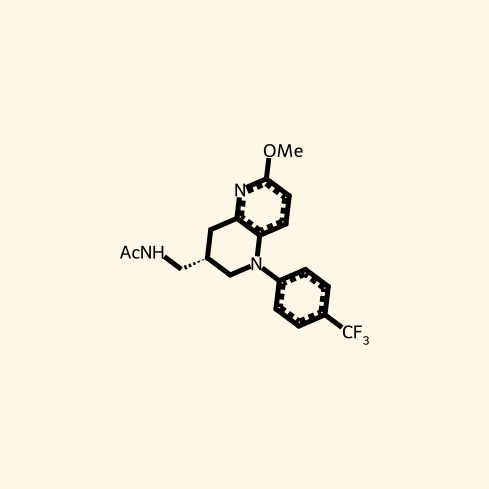 COc1ccc2c(n1)C[C@@H](CNC(C)=O)CN2c1ccc(C(F)(F)F)cc1